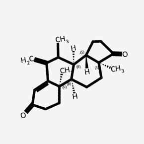 C=C1C2=CC(=O)CC[C@]2(C)[C@@H]2CC[C@]3(C)C(=O)CC[C@H]3[C@@H]2C1C